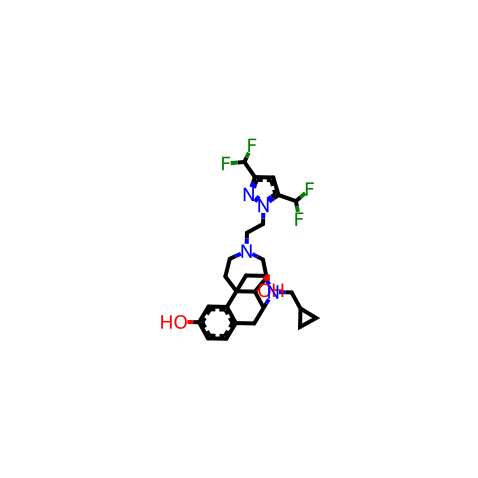 Oc1ccc2c(c1)C13CCN(CCn4nc(C(F)F)cc4C(F)F)CCC1(O)C(C2)N(CC1CC1)CC3